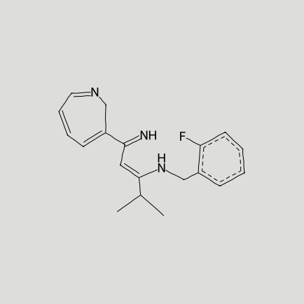 CC(C)/C(=C/C(=N)C1=CC=CC=NC1)NCc1ccccc1F